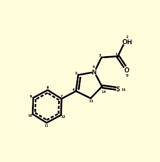 O=C(O)CN1C=C(c2ccccc2)CC1=S